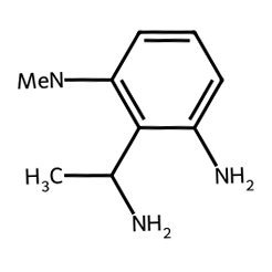 CNc1cccc(N)c1C(C)N